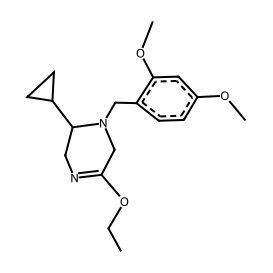 CCOC1=NCC(C2CC2)N(Cc2ccc(OC)cc2OC)C1